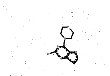 Brc1nc(N2CCOCC2)c2occc2n1